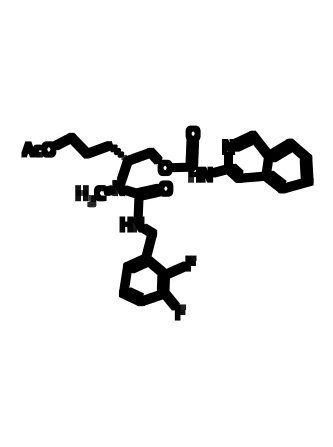 CC(=O)OCCC[C@H](COC(=O)Nc1cc2ccccc2cn1)N(C)C(=O)NCc1cccc(F)c1F